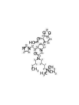 CCCCN(CCCC[N+](C)(C)C)C(=O)CN1C[C@H](c2ccc3c(c2)OCO3)[C@@H](C(=O)O)[C@@H]1CCn1ccnc1